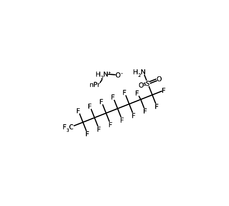 CCC[NH2+][O-].NS(=O)(=O)C(F)(F)C(F)(F)C(F)(F)C(F)(F)C(F)(F)C(F)(F)C(F)(F)C(F)(F)F